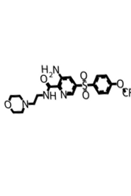 Nc1cc(S(=O)(=O)c2ccc(OC(F)(F)F)cc2)cnc1C(=O)NCCN1CCOCC1